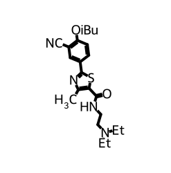 CCN(CC)CCNC(=O)c1sc(-c2ccc(OCC(C)C)c(C#N)c2)nc1C